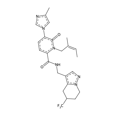 C/C=C(/C)Cn1c(C(=O)NCc2cnn3c2CC(C(F)(F)F)CC3)ccc(-n2cnc(C)c2)c1=O